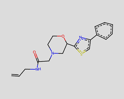 C=CCNC(=O)CN1CCOC(c2nc(-c3ccccc3)cs2)C1